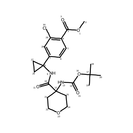 COC(=O)c1ccc(C2(NC(=O)C3(NC(=O)OC(C)(C)C)CCOCC3)CC2)cc1Cl